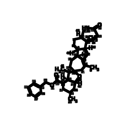 CC1=C2C[C@H]3[C@@H](CC[C@@H]4CNC(=O)C=C[C@@]43C)[C@@H]2CC[C@@]2(C1)O[C@@H]1C[C@H](C)CN(C(=O)OCc3ccccc3)[C@H]1[C@H]2C